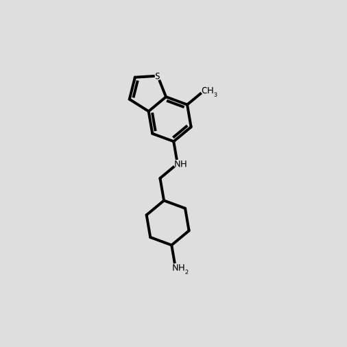 Cc1cc(NCC2CCC(N)CC2)cc2ccsc12